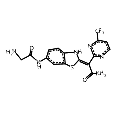 NCC(=O)Nc1ccc2c(c1)SC(=C(C(N)=O)c1nccc(C(F)(F)F)n1)N2